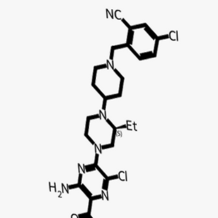 CC[C@H]1CN(c2nc(N)c(C(=O)OC)nc2Cl)CCN1C1CCN(Cc2ccc(Cl)cc2C#N)CC1